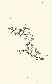 COc1cc2nc(N)n3nc([C@@H]4CCCN(c5cn(CC(C)(C)O)nc5C5CC5)C4)nc3c2cc1F